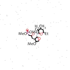 C=C1[C@H](C)C[C@H](CC)O[C@@H]1C[C@@H]1OC[C@H](OC)[C@H]1CC(=O)CP(=O)(OC)OC